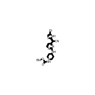 CCC1=CSC(=C(C#N)c2ccnc(NC3CCN(NC(=O)OC(C)(C)C)CC3)n2)N1